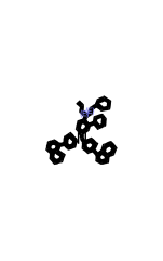 C=C/C=C(\C=C\C1=CCCC=C1)c1ccc(N(c2ccc(-c3cccc4ccccc34)cc2)c2ccc(-c3cccc4ccccc34)cc2)cc1C1=CC=CCC1